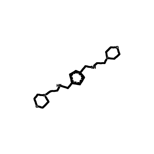 c1cc(CNCCN2CCOCC2)ccc1CNCCN1CCOCC1